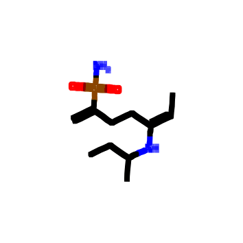 C=C(CC/C(=C\C)NC(C)CC)S(N)(=O)=O